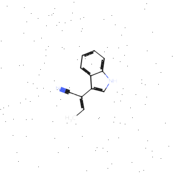 C/C=C(\C#N)c1c[nH]c2ccccc12